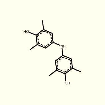 Cc1cc(Nc2cc(C)c(O)c(C)c2)cc(C)c1O